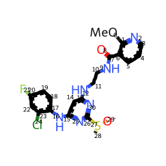 COc1ncccc1C(=O)NCCNc1cc(Nc2ccc(F)cc2Cl)nc([S+](C)[O-])n1